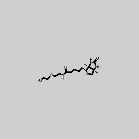 [O]CCOCCNC(=O)CCCC[C@@H]1SC[C@@H]2NC(=O)N[C@@H]21